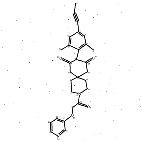 CC#Cc1cc(C)c(C2C(=O)CC3(CCN(C(=O)COc4cccnc4)CC3)CC2=O)c(C)c1